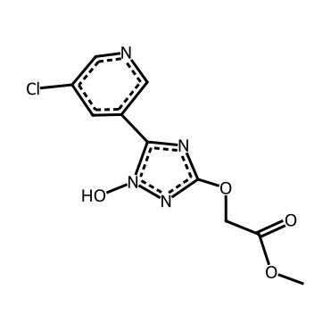 COC(=O)COc1nc(-c2cncc(Cl)c2)n(O)n1